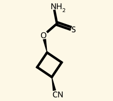 N#C[C@H]1C[C@@H](OC(N)=S)C1